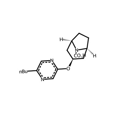 CCCCc1cnc(O[C@H]2C[C@H]3CC[C@@H](C2)N3C(=O)O)cn1